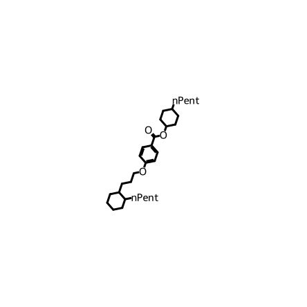 CCCCCC1CCC(OC(=O)c2ccc(OCCCC3CCCCC3CCCCC)cc2)CC1